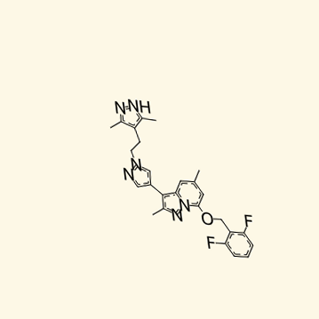 Cc1cc(OCc2c(F)cccc2F)n2nc(C)c(-c3cnn(CCc4c(C)n[nH]c4C)c3)c2c1